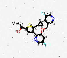 COC(=O)c1cc(-c2ncc(F)cc2OCc2cncc(F)c2)c(C2CC2)s1